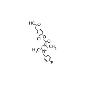 C[C@@H]1CN(Cc2ccc(F)cc2)[C@@H](C)CN1C(=O)COc1ccc(CC(=O)O)cc1Cl